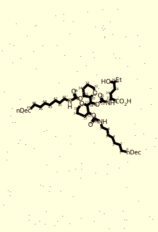 CCCCCCCCCCCCCCCCCNC(=O)OC1CCCOC1C(OC(=O)NC(CCC(O)CC)C(=O)O)C1OCCCC1OC(=O)NCCCCCCCCCCCCCCCCC